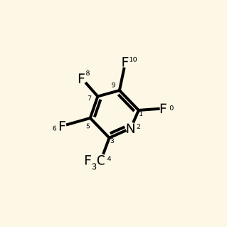 Fc1nc(C(F)(F)F)c(F)c(F)c1F